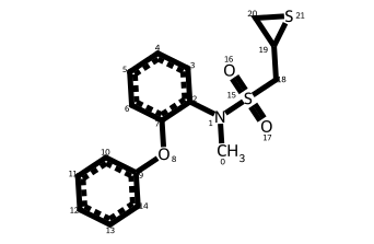 CN(c1ccccc1Oc1ccccc1)S(=O)(=O)CC1CS1